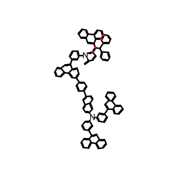 C=C(/C=C\C=C\c1cc2ccccc2c2ccccc12)N(/C=C/CC(c1ccccc1)c1ccccc1)c1cccc(-c2cc3ccccc3c3cc(-c4ccc(-c5ccc6cc(N(c7cccc(-c8cc9ccccc9c9ccccc89)c7)c7cccc(-c8cc9ccccc9c9ccccc89)c7)ccc6c5)cc4)ccc23)c1